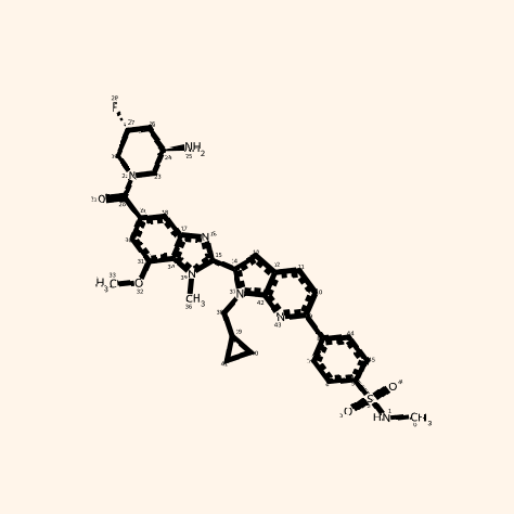 CNS(=O)(=O)c1ccc(-c2ccc3cc(-c4nc5cc(C(=O)N6C[C@H](N)C[C@@H](F)C6)cc(OC)c5n4C)n(CC4CC4)c3n2)cc1